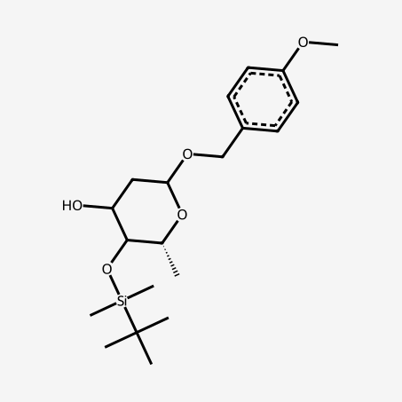 COc1ccc(COC2CC(O)C(O[Si](C)(C)C(C)(C)C)[C@@H](C)O2)cc1